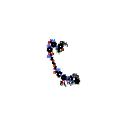 CCOc1cc(N2CCC(C(=O)NCCOCCOCCNC(=O)OC3CCC(Nc4cc(-n5nc(C(F)(F)F)c6c5CC(C)(C)CC6=O)ccc4C(N)=O)CC3)CC2)ccc1Nc1ncc2c(n1)N(C)c1ccccc1C(=O)N2C